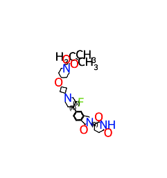 CC(C)(C)OC(=O)N1CCC(OC2CC(N3CC[C@H](c4ccc5c(c4)CN([C@@H]4CCC(=O)NC4=O)C5=O)[C@H](F)C3)C2)CC1